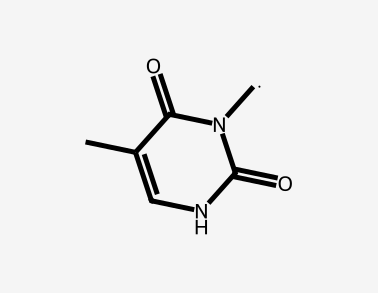 [CH2]n1c(=O)[nH]cc(C)c1=O